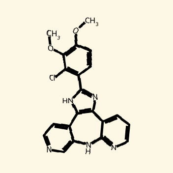 COc1ccc(-c2nc3c([nH]2)-c2ccncc2Nc2ncccc2-3)c(Cl)c1OC